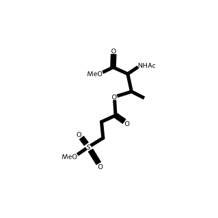 COC(=O)C(NC(C)=O)C(C)OC(=O)CCS(=O)(=O)OC